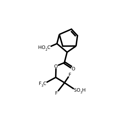 O=C(O)C1C2C=CC(C2)C1C(=O)OC(C(F)(F)F)C(F)(F)S(=O)(=O)O